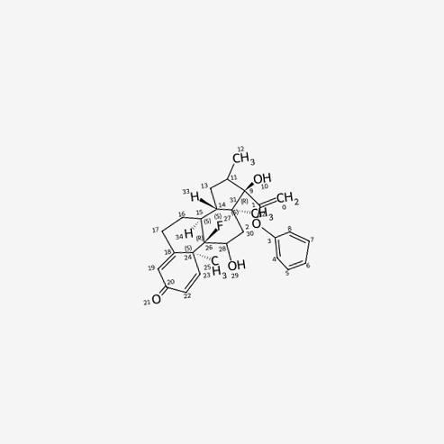 C=C(Oc1ccccc1)[C@@]1(O)C(C)C[C@H]2[C@@H]3CCC4=CC(=O)C=C[C@]4(C)[C@@]3(F)C(O)C[C@@]21C